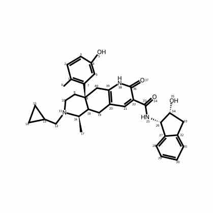 Cc1ccc(O)cc1[C@]12CCN(CC3CC3)[C@H](C)C1Cc1cc(C(=O)N[C@H]3c4ccccc4C[C@H]3O)c(=O)[nH]c1C2